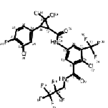 O=C(NCC(F)(F)C(F)(F)F)c1cc(NC(=O)C2C(c3ccc(F)c(Cl)c3)C2(Cl)Cl)cc(C(F)(F)F)c1Cl